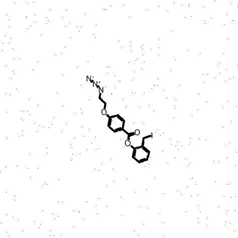 [N-]=[N+]=NCCOc1ccc(C(=O)Oc2ccccc2CI)cc1